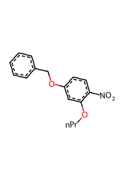 CCCOc1cc(OCc2ccccc2)ccc1[N+](=O)[O-]